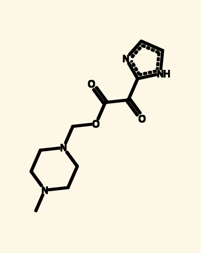 CN1CCN(COC(=O)C(=O)c2ncc[nH]2)CC1